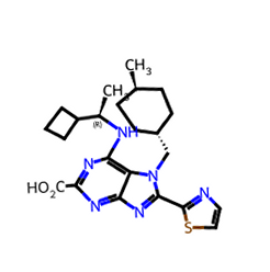 C[C@@H](Nc1nc(C(=O)O)nc2nc(-c3nccs3)n(C[C@H]3CC[C@H](C)CC3)c12)C1CCC1